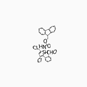 O=Cc1ccccc1C1=C(Cl)C=C(Cl)[SH]1CNC(=O)OCC1c2ccccc2-c2ccccc21